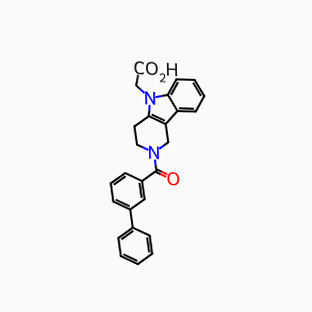 O=C(O)Cn1c2c(c3ccccc31)CN(C(=O)c1cccc(-c3ccccc3)c1)CC2